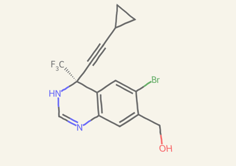 OCc1cc2c(cc1Br)[C@@](C#CC1CC1)(C(F)(F)F)NC=N2